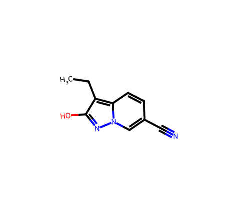 CCc1c(O)nn2cc(C#N)ccc12